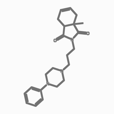 CC12CC=CCC1C(=O)N(CCCN1CCN(c3ccccc3)CC1)C2=O